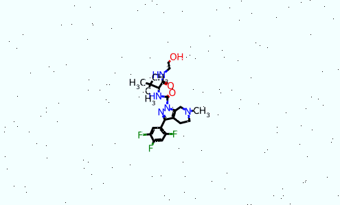 CN1CCc2c(-c3cc(F)c(F)cc3F)nn(C(=O)NC(C(=O)NCCO)C(C)(C)C)c2C1